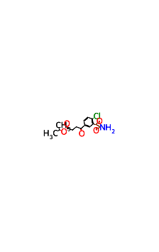 CC(C)OC(=O)CCC(=O)c1ccc(Cl)c(S(N)(=O)=O)c1